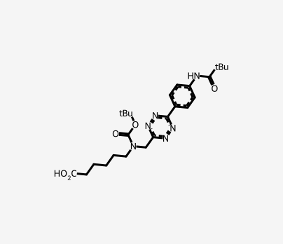 CC(C)(C)OC(=O)N(CCCCCC(=O)O)Cc1nnc(-c2ccc(NC(=O)C(C)(C)C)cc2)nn1